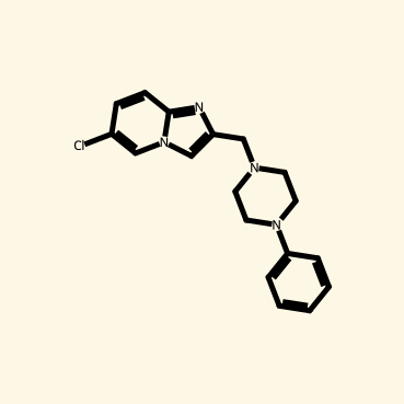 Clc1ccc2nc(CN3CCN(c4ccccc4)CC3)cn2c1